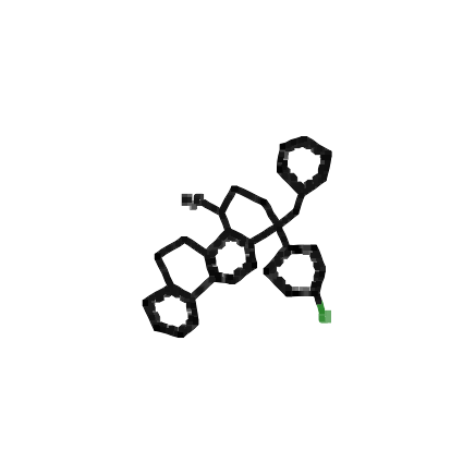 CC1CCC(Cc2ccccc2)(c2ccc(Cl)cc2)c2ccc3c(c21)CCc1ccccc1-3